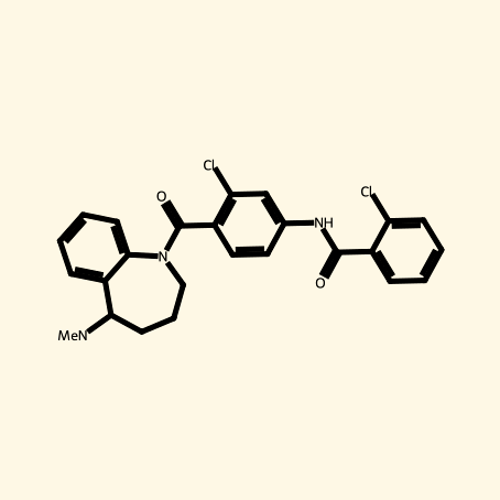 CNC1CCCN(C(=O)c2ccc(NC(=O)c3ccccc3Cl)cc2Cl)c2ccccc21